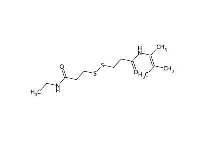 CCNC(=O)CCSSCCC(=O)NC(C)=C(C)C